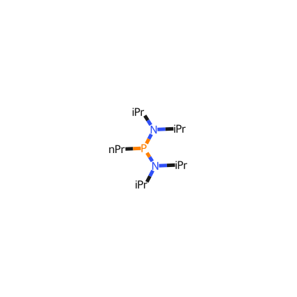 CCCP(N(C(C)C)C(C)C)N(C(C)C)C(C)C